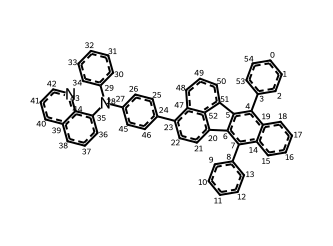 c1ccc(-c2c3c(c(-c4ccccc4)c4ccccc24)-c2ccc(-c4ccc(N(c5ccccc5)c5cccc6cccnc56)cc4)c4cccc-3c24)cc1